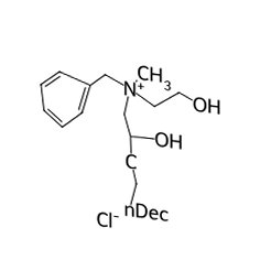 CCCCCCCCCCCCC(O)C[N+](C)(CCO)Cc1ccccc1.[Cl-]